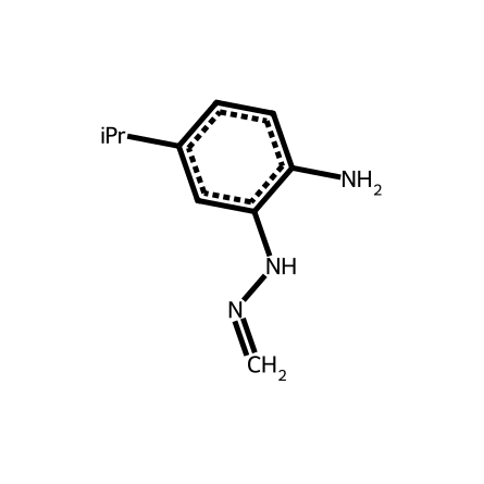 C=NNc1cc(C(C)C)ccc1N